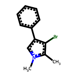 Cc1c(Br)c(-c2ccccc2)cn1C